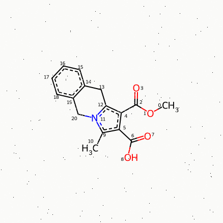 COC(=O)c1c(C(=O)O)c(C)n2c1Cc1ccccc1C2